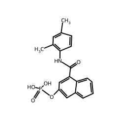 Cc1ccc(NC(=O)c2cc(OP(=O)(O)O)cc3ccccc23)c(C)c1